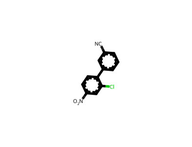 N#Cc1cccc(-c2ccc([N+](=O)[O-])cc2Cl)c1